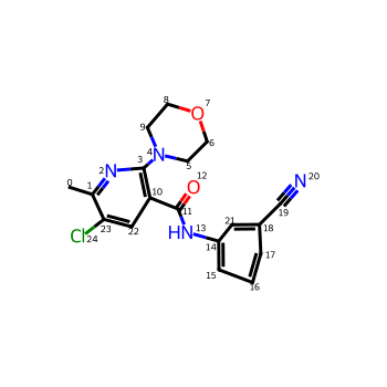 Cc1nc(N2CCOCC2)c(C(=O)Nc2cccc(C#N)c2)cc1Cl